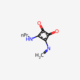 C=Nc1c(NCCC)c(=O)c1=O